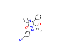 CCc1nc(-c2ccccc2)c(C(C)=O)n(Nc2ccc(C#N)cc2)c1=O